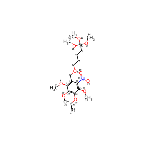 COc1c(COCCCC[Si](OC)(OC)OC)c([N+](=O)[O-])c(OC)c(O[CH2][Rf])c1OC